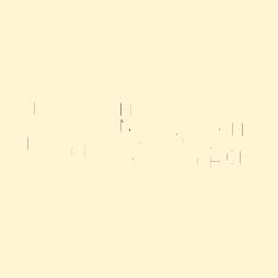 CC(C)(C)CCNC(=O)C[S+]([O-])CC(C)(C)C